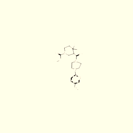 CC(C)(C)OC(=O)N1CCC(F)(F)C(C(=O)N2CCN(c3ccc(C#N)cn3)CC2)C1